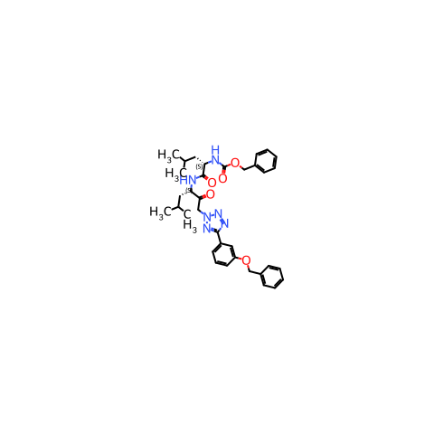 CC(C)C[C@H](NC(=O)[C@H](CC(C)C)NC(=O)OCc1ccccc1)C(=O)Cn1nnc(-c2cccc(OCc3ccccc3)c2)n1